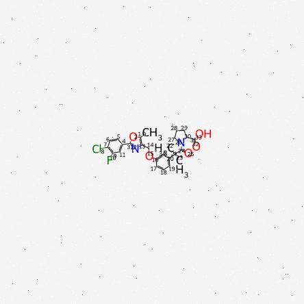 Cc1oc(-c2ccc(Cl)c(F)c2)nc1COc1cccc(C(C)(C)C(=O)N2CCCC2C(=O)O)c1